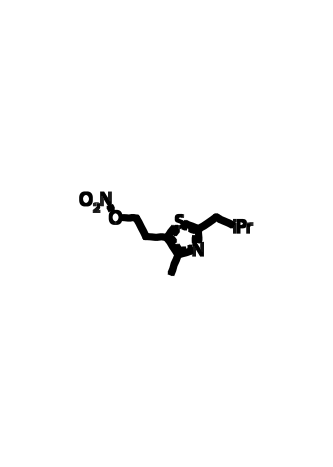 Cc1nc(CC(C)C)sc1CCO[N+](=O)[O-]